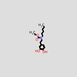 CCCCCCN(CCc1ccc(O)c(O)c1)C(=O)OCC